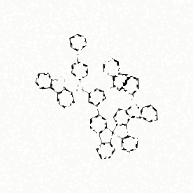 c1ccc(-c2ccc(N(c3cc(-c4ccc5c(c4)C4(c6ccccc6-5)c5ccccc5-c5c4ccc4c5c5ccccc5n4-c4ccccc4)cc(-c4cccc5ccccc45)c3)c3cccc4c3oc3ccccc34)cc2)cc1